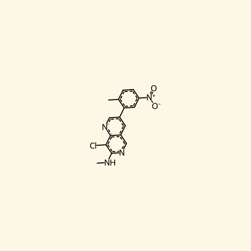 CNc1ncc2cc(-c3cc([N+](=O)[O-])ccc3C)cnc2c1Cl